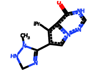 CC(C)c1c(C2=NCNN2C)cn2nc[nH]c(=O)c12